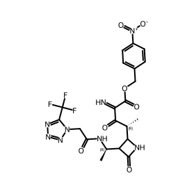 C[C@@H](NC(=O)Cn1nnnc1C(F)(F)F)C1C(=O)NC1[C@@H](C)C(=O)C(=N)C(=O)OCc1ccc([N+](=O)[O-])cc1